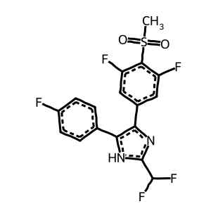 CS(=O)(=O)c1c(F)cc(-c2nc(C(F)F)[nH]c2-c2ccc(F)cc2)cc1F